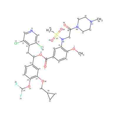 COc1ccc(C(=O)OC(Cc2c(Cl)cncc2Cl)c2ccc(OC(F)F)c(OCC3CC3)c2)cc1N(CC(=O)N1CCN(C)CC1)S(C)(=O)=O